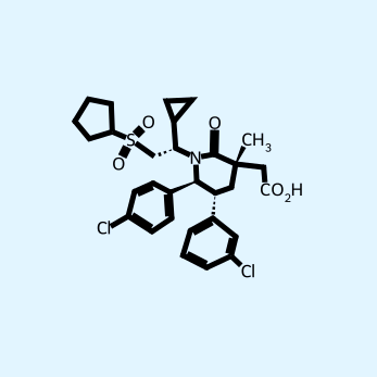 C[C@@]1(CC(=O)O)C[C@H](c2cccc(Cl)c2)[C@@H](c2ccc(Cl)cc2)N([C@H](CS(=O)(=O)C2CCCC2)C2CC2)C1=O